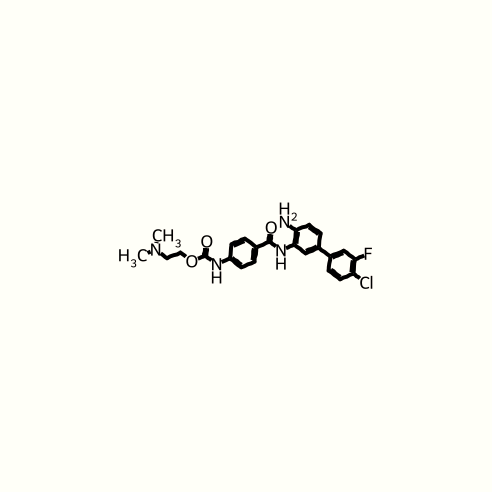 CN(C)CCOC(=O)Nc1ccc(C(=O)Nc2cc(-c3ccc(Cl)c(F)c3)ccc2N)cc1